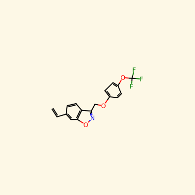 C=Cc1ccc2c(COc3ccc(OC(F)(F)F)cc3)noc2c1